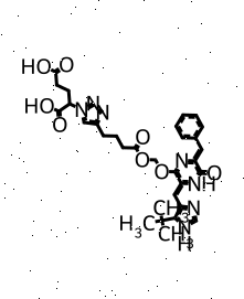 CC(C)(C)c1[nH]cnc1/C=c1\[nH]c(=O)/c(=C/c2ccccc2)nc1OCOC(=O)CCCc1cn(C(CCC(=O)O)C(=O)O)nn1